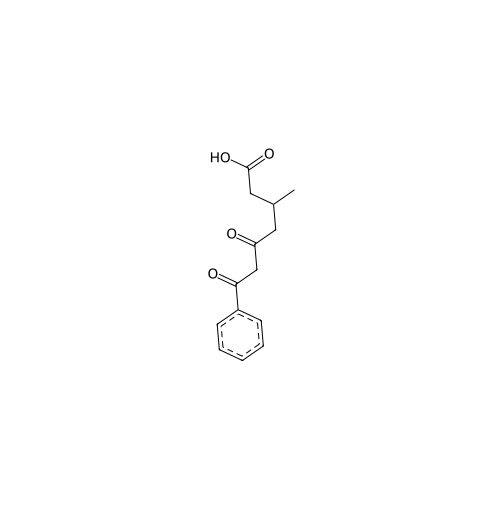 CC(CC(=O)O)CC(=O)CC(=O)c1ccccc1